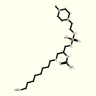 CCCCCCCCCCCCCCCCCCOCC(COP(=O)(O)OCCN1CCN(C)CC1)OC(N)=O